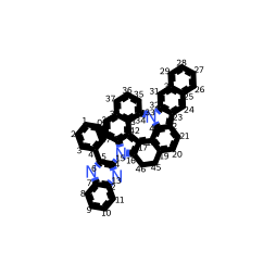 c1cccc(-c2nc3ccccc3nc2-n2c3c4c5c(ccc6c7cc8ccccc8cc7n(c7cccc8ccc2c4c87)c65)CC3)c#1